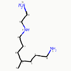 CC(CCCN)CCCNCCN